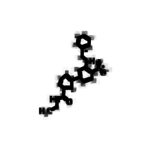 CCNC(=O)c1cccc(-c2ccc([N+](=O)[O-])c(NCc3ccccc3)c2)c1